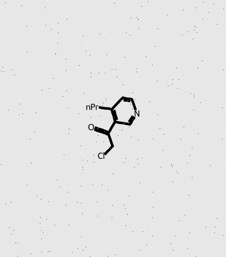 CCCc1ccncc1C(=O)CCl